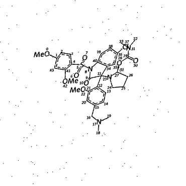 COc1ccc(S(=O)(=O)N2C(=O)C(c3ccc(CN(C)C)cc3OC)(N3CCC[C@@H]3OC(=O)N(C)C)c3cc(Cl)ccc32)c(OC)c1